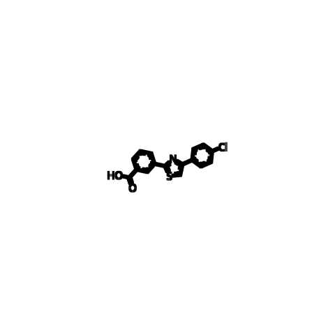 O=C(O)c1cccc(-c2nc(-c3ccc(Cl)cc3)cs2)c1